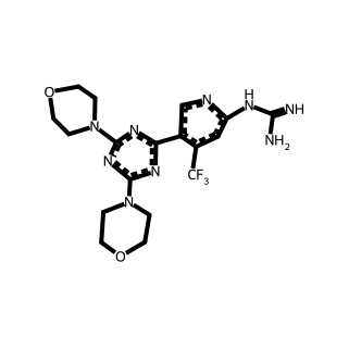 N=C(N)Nc1cc(C(F)(F)F)c(-c2nc(N3CCOCC3)nc(N3CCOCC3)n2)cn1